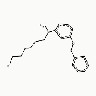 CC(CCCCCCCl)c1cccc(OCc2ccccc2)c1